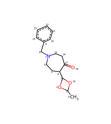 CC1OC(C2CCN(Cc3ccccc3)CCC2=O)O1